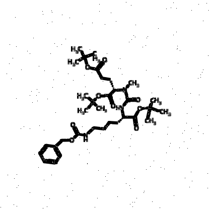 CN(C(=O)N[C@@H](CCCCNC(=O)OCc1ccccc1)C(=O)OC(C)(C)C)[C@@H](CCC(=O)OC(C)(C)C)C(=O)OC(C)(C)C